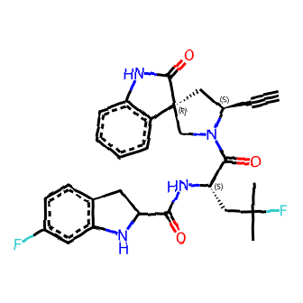 C#C[C@@H]1C[C@@]2(CN1C(=O)[C@H](CC(C)(C)F)NC(=O)C1Cc3ccc(F)cc3N1)C(=O)Nc1ccccc12